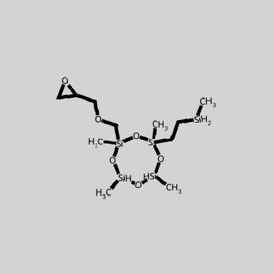 C[SiH2]CC[Si]1(C)O[SiH](C)O[SiH](C)O[Si](C)(COCC2CO2)O1